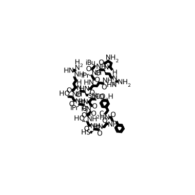 CC[C@H](C)[C@H](NC(=O)[C@H](CCCNC(=N)N)N1C(=O)[C@@H](N)CC1C)C(=O)N[C@H](C(=O)NC(CCC(N)=O)C(=O)N[C@@H](CS)C(=O)NC(CCCNC(=N)N)C(=O)NC(CO)C(=O)N[C@H](C(=O)NC(CCC(=O)O)C(=O)NCC(=O)N[C@@H](CO)C(=O)N[C@@H](CS)C(=O)NCC(=O)N[C@@H](Cc1ccccc1)C(=O)N[C@@H](Cc1ccc(O)cc1)C(=O)O)C(C)C)C(C)C